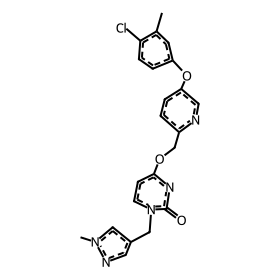 Cc1cc(Oc2ccc(COc3ccn(Cc4cnn(C)c4)c(=O)n3)nc2)ccc1Cl